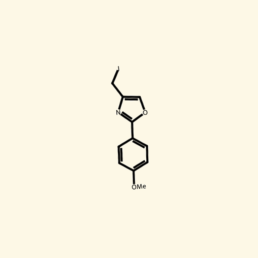 COc1ccc(-c2nc(CI)co2)cc1